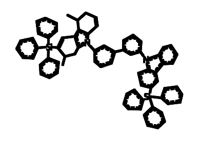 CC1Cc2c(c3c(n2-c2cccc(-c4cccc(-n5c6ccccc6c6cc([Si](c7ccccc7)(c7ccccc7)c7ccccc7)ccc65)c4)c2)C=CCC3C)C=C1[Si](c1ccccc1)(c1ccccc1)c1ccccc1